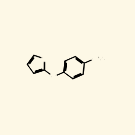 COc1ccc(Oc2ccco2)cc1